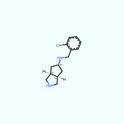 Clc1ccccc1CN[C@H]1C[C@H]2CNC[C@H]2C1